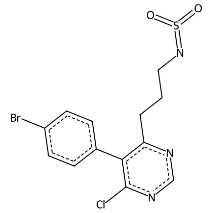 O=S(=O)=NCCCc1ncnc(Cl)c1-c1ccc(Br)cc1